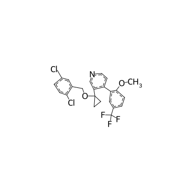 COc1ccc(C(F)(F)F)cc1-c1ccncc1C1(OCc2cc(Cl)ccc2Cl)CC1